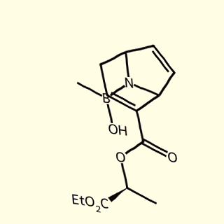 CCOC(=O)[C@H](C)OC(=O)C1=CCC2C=CC1N2B(C)O